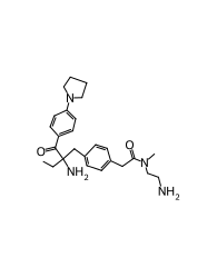 CCC(N)(Cc1ccc(CC(=O)N(C)CCN)cc1)C(=O)c1ccc(N2CCCC2)cc1